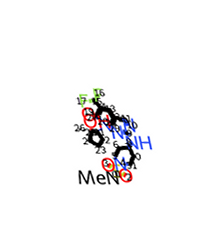 CNS(=O)(=O)N1CCC(Nc2ncc3cc(C(F)F)c(=O)n([C@@H]4CCC[C@@]4(C)O)c3n2)CC1